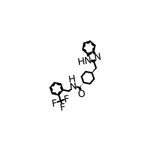 O=C(NCc1ccccc1C(F)(F)F)[C@H]1CC[C@H](Cc2nc3ccccc3[nH]2)CC1